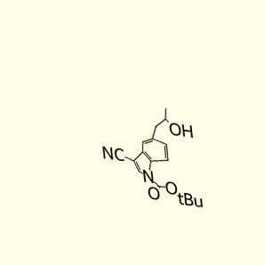 CC(O)Cc1ccc2c(c1)c(C#N)cn2C(=O)OC(C)(C)C